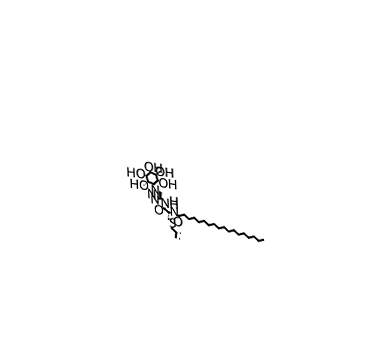 [CH2][CH]CSC[C@@H](NC(=O)CCCCCCCCCCCCCCCCC)C(=O)Nc1cn([C@@H]2[C@H](O)[C@H](O)[C@@H](O)[C@H](O)[C@H]2O)nn1